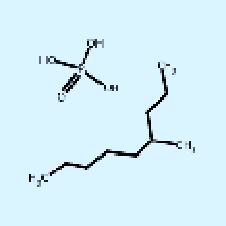 CCCCCC(C)CCC.O=P(O)(O)O